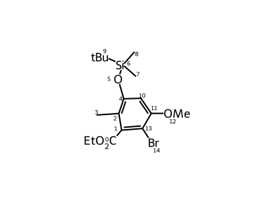 CCOC(=O)c1c(C)c(O[Si](C)(C)C(C)(C)C)cc(OC)c1Br